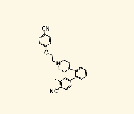 Cc1cc(-c2ccccc2N2CCN(CCOc3ccc(C#N)cc3)CC2)ccc1C#N